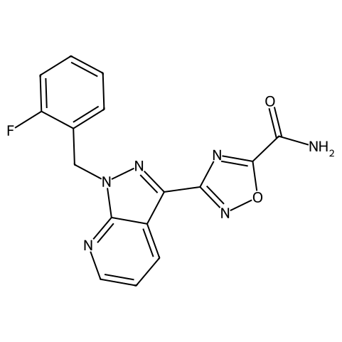 NC(=O)c1nc(-c2nn(Cc3ccccc3F)c3ncccc23)no1